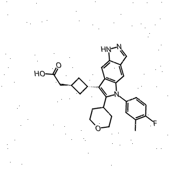 Cc1cc(-n2c(C3CCOCC3)c([C@H]3C[C@H](CC(=O)O)C3)c3cc4[nH]ncc4cc32)ccc1F